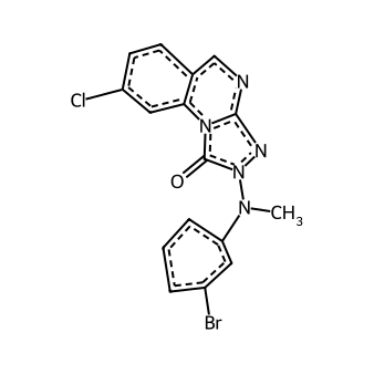 CN(c1cccc(Br)c1)n1nc2ncc3ccc(Cl)cc3n2c1=O